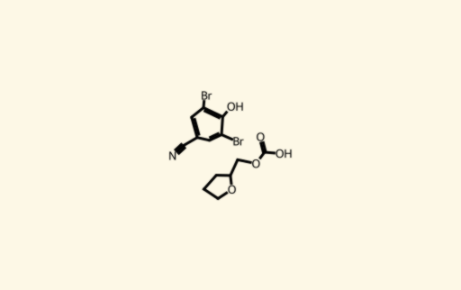 N#Cc1cc(Br)c(O)c(Br)c1.O=C(O)OCC1CCCO1